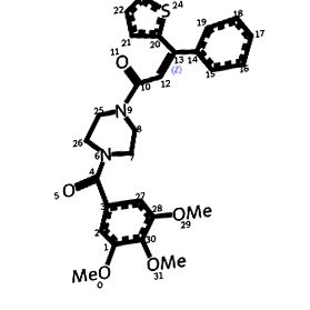 COc1cc(C(=O)N2CCN(C(=O)/C=C(/c3ccccc3)c3cccs3)CC2)cc(OC)c1OC